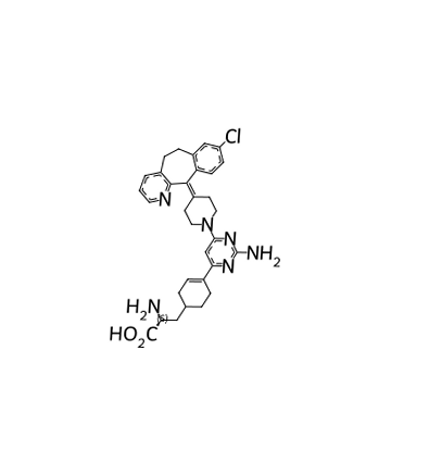 Nc1nc(C2=CCC(C[C@H](N)C(=O)O)CC2)cc(N2CCC(=C3c4ccc(Cl)cc4CCc4cccnc43)CC2)n1